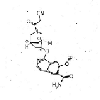 CC(C)Oc1cc2c(O[C@H]3C[C@@H]4C[C@H]3CN(C(=O)CC#N)C4)nccc2cc1C(N)=O